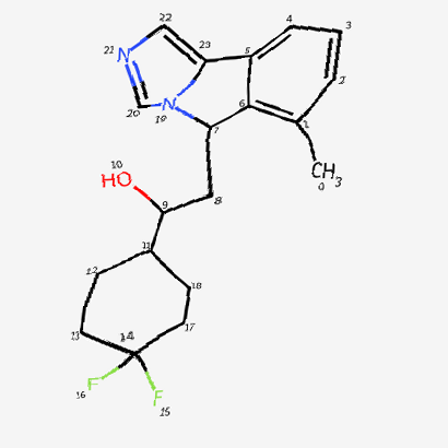 Cc1cccc2c1C(CC(O)C1CCC(F)(F)CC1)n1cncc1-2